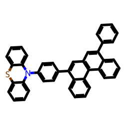 c1ccc(-c2cc3cc(-c4ccc(N5c6ccccc6Sc6ccccc65)cc4)c4ccccc4c3c3ccccc23)cc1